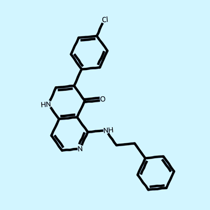 O=c1c(-c2ccc(Cl)cc2)c[nH]c2ccnc(NCCc3ccccc3)c12